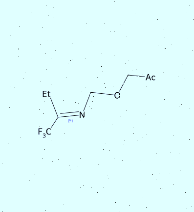 CC/C(=N\COCC(C)=O)C(F)(F)F